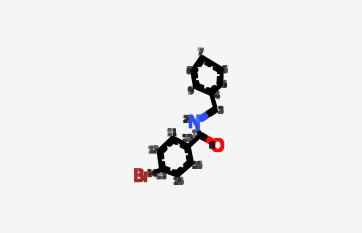 O=C(/N=C/c1ccccc1)c1ccc(Br)cc1